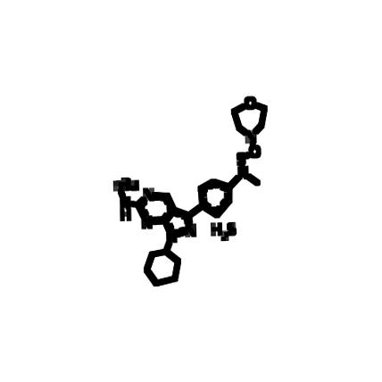 CCCCNc1ncc2c(-c3ccc(N(C)SON4CCOCC4)cc3)nn(C3CCCCC3)c2n1.S